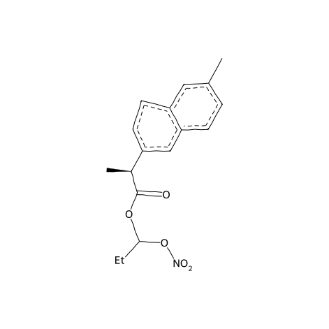 CCC(OC(=O)[C@@H](C)c1ccc2cc(C)ccc2c1)O[N+](=O)[O-]